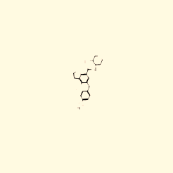 Cc1c(Cc2ccc(S(N)(=O)=O)cc2)cc(C(=O)N[C@H]2CCOC[C@@H]2O)c2c1CCO2